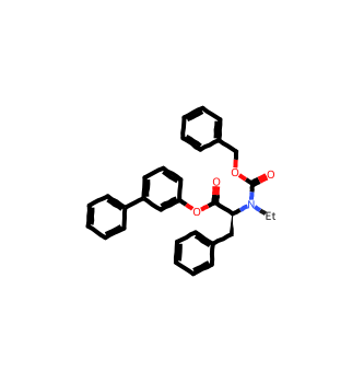 CCN(C(=O)OCc1ccccc1)[C@@H](Cc1ccccc1)C(=O)Oc1cccc(-c2ccccc2)c1